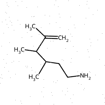 C=C(C)C(C)C(C)CCN